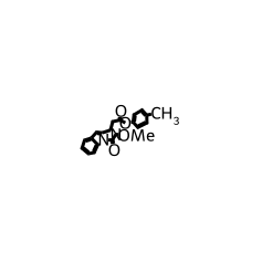 CON1C(=O)n2c(cc3ccccc32)C1CC(=O)Oc1ccc(C)cc1